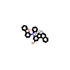 CC1(C)C2=C(c3cc(Br)cc(N(c4ccccc4)c4cccc5c4oc4ccccc45)c31)C1C=CC=CC1C=C2